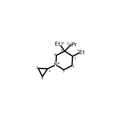 CCC1CCN(C2CC2)CC1(CC)C(C)C